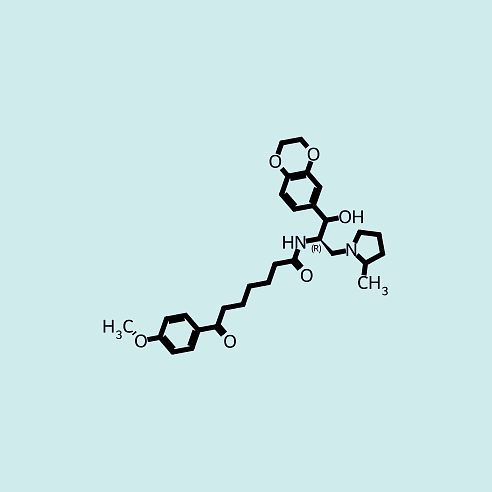 COc1ccc(C(=O)CCCCCC(=O)N[C@H](CN2CCCC2C)C(O)c2ccc3c(c2)OCCO3)cc1